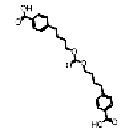 O=C(OCCCCc1ccc(C(=O)O)cc1)OCCCCc1ccc(C(=O)O)cc1